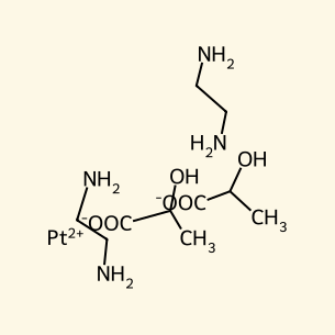 CC(O)C(=O)[O-].CC(O)C(=O)[O-].NCCN.NCCN.[Pt+2]